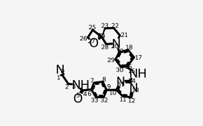 N#CCNC(=O)c1ccc(-c2ccnc(Nc3ccc(N4CCC[C@@]5(CCO5)C4)cc3)n2)cc1